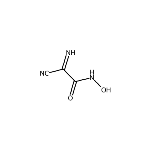 N#CC(=N)C(=O)NO